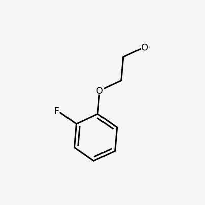 [O]CCOc1ccccc1F